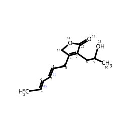 C/C=C/C=C/CC1=C(CC(C)O)C(=O)OC1